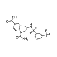 NC(=O)N1CC(NS(=O)(=O)c2cccc(C(F)(F)F)c2)Cc2cc(C(=O)O)ccc21